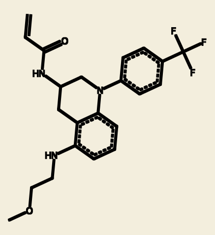 C=CC(=O)NC1Cc2c(NCCOC)cccc2N(c2ccc(C(F)(F)F)cc2)C1